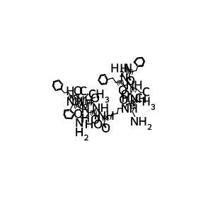 CC(C)C[C@@H](NC(=O)[C@@H](CCc1ccccc1)NC(=O)[C@H](N)Cc1ccccc1)C(=O)N[C@H](CCCN)C(=O)NCCCC[C@@H](NC(=O)[C@@H](CCCN)NC(=O)[C@@H](CC(C)C)NC(=O)[C@@H](Cc1ccccc1)NC(=O)[C@H](N)CCc1ccccc1)C(=O)O